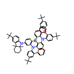 Cc1cc2c3c(c1)N(c1ccc(C(C)(C)C)cc1-c1ccccc1)c1c(ccc4c1oc1ccc(C(C)(C)C)cc14)B3c1ccc(N3c4ccc(C(C)(C)C)cc4C4(C)CCCCC34C)cc1N2c1ccc(C(C)(C)C)cc1-c1ccccc1